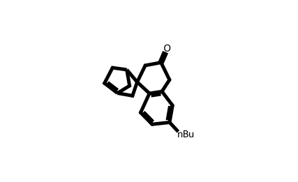 CCCCc1ccc2c(c1)CC(=O)CC21CC2=CCC1C2